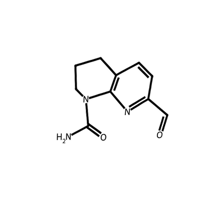 NC(=O)N1CCCc2ccc(C=O)nc21